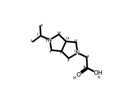 CC(C)N1CC2CN(CC(=O)O)CC2C1